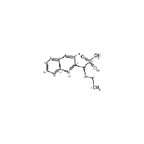 CCCC(c1[c]cc2ccccc2n1)S(=O)(=O)O